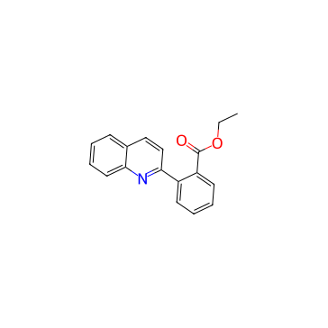 CCOC(=O)c1ccccc1-c1ccc2ccccc2n1